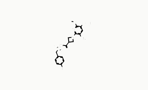 CCOC(=O)c1cc(C#N)c(N2CC(C(=O)NS(=O)(=O)Cc3ccc(F)cc3)C2)nc1OCC